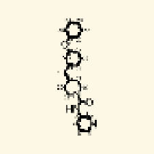 O=C(Nc1cccnn1)N1CCC(=Cc2cccc(Oc3ccccc3)n2)CC1